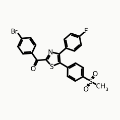 CS(=O)(=O)c1ccc(-c2sc(C(=O)c3ccc(Br)cc3)nc2-c2ccc(F)cc2)cc1